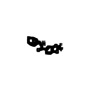 O=C(NC1CC2CCC(C1)N2C(=O)O)c1ccc2c(c1)OC(F)(F)O2